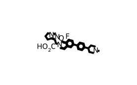 CN1CCC(c2ccc(-c3cc(F)c4c(=O)n(C(C(=O)O)c5ncn6c5CCC6)ccc4c3)cc2)CC1